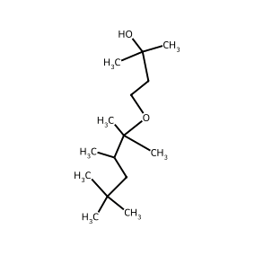 CC(CC(C)(C)C)C(C)(C)OCCC(C)(C)O